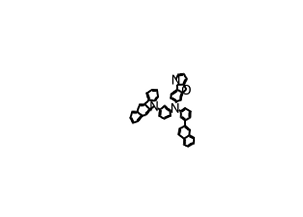 c1cc(-c2ccc3ccccc3c2)cc(N(c2cccc(-n3c4ccccc4c4cc5ccccc5cc43)c2)c2ccc3c(c2)oc2cccnc23)c1